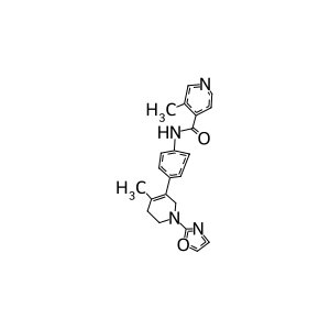 CC1=C(c2ccc(NC(=O)c3ccncc3C)cc2)CN(c2ncco2)CC1